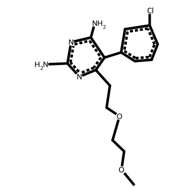 COCCOCCc1nc(N)nc(N)c1-c1cccc(Cl)c1